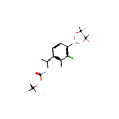 Cc1c(C(C)NC(=O)OC(C)(C)C)ccc(B2OC(C)(C)C(C)(C)O2)c1F